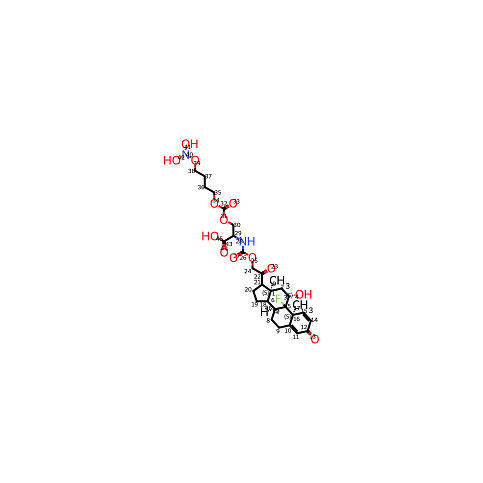 C[C@]12C[C@H](O)C3(F)[C@@H](CCC4=CC(=O)C=C[C@@]43C)C1CCC2C(=O)COC(=O)NC(COC(=O)OCCCCON(O)O)C(=O)O